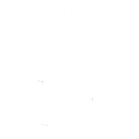 COc1cc(OC)c(C=CS(=O)(=O)Cc2ccc(Cl)cc2)c(OC)c1